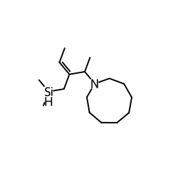 C/C=C(/C[SiH](C)C)C(C)N1CCCCCCCC1